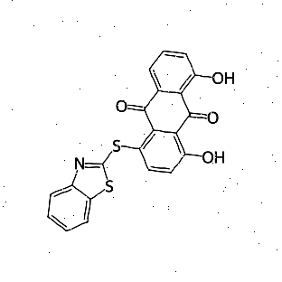 O=C1c2c(O)cccc2C(=O)c2c(Sc3nc4ccccc4s3)ccc(O)c21